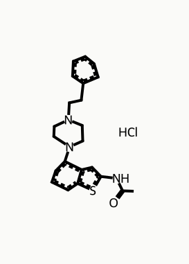 CC(=O)Nc1cc2c(N3CCN(CCc4ccccc4)CC3)cccc2s1.Cl